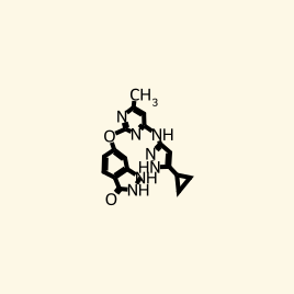 Cc1cc(Nc2cc(C3CC3)[nH]n2)nc(Oc2ccc3c(=O)[nH][nH]c3c2)n1